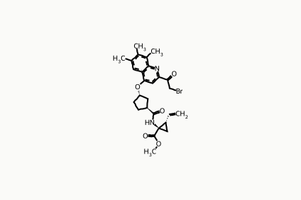 C=C[C@@H]1C[C@]1(NC(=O)[C@H]1CC[C@H](Oc2cc(C(=O)CBr)nc3c(C)c(C)c(C)cc23)C1)C(=O)OC